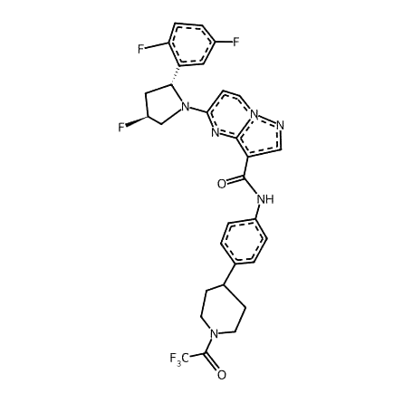 O=C(Nc1ccc(C2CCN(C(=O)C(F)(F)F)CC2)cc1)c1cnn2ccc(N3C[C@@H](F)C[C@@H]3c3cc(F)ccc3F)nc12